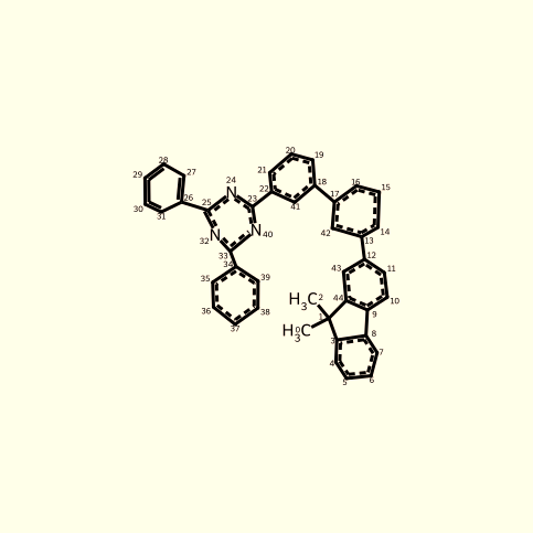 CC1(C)c2ccccc2-c2ccc(-c3cccc(-c4cccc(-c5nc(C6=CC=C=C=C6)nc(-c6ccccc6)n5)c4)c3)cc21